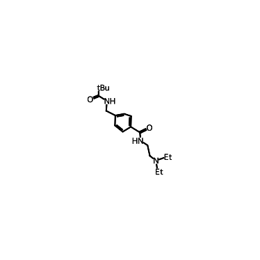 CCN(CC)CCNC(=O)c1ccc(CNC(=O)C(C)(C)C)cc1